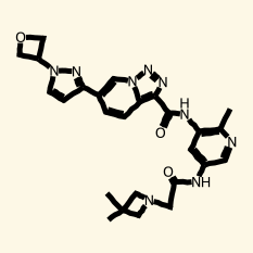 Cc1ncc(NC(=O)CN2CC(C)(C)C2)cc1NC(=O)c1nnn2cc(-c3ccn(C4COC4)n3)ccc12